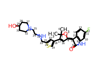 CC1(C)O/C(=C2/C(=O)Nc3cc(F)ccc32)C=C1c1csc(CNCCN2CCC(O)CC2)c1